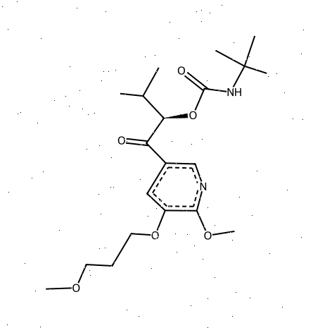 COCCCOc1cc(C(=O)[C@H](OC(=O)NC(C)(C)C)C(C)C)cnc1OC